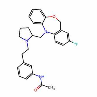 CC(=O)Nc1cccc(CCN2CCCC2CN2c3ccc(F)cc3COc3ccccc32)c1